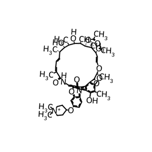 CO[C@H]1/C=C/O[C@@]2(C)Oc3c(C)c(O)c4c(=O)c(c5oc6cc(OC7CC[N+](C)(C)CC7)ccc6nc-5c4c3C2=O)NC(=O)/C(C)=C\C=C\[C@H](C)[C@H](O)[C@@H](C)[C@@H](O)[C@@H](C)[C@H](OC(C)=O)[C@@H]1C